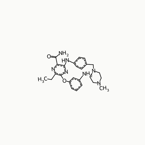 CCc1nc(C(N)=O)c(Nc2ccc(CN3CCN(C)CC3)cc2)nc1Oc1cccc(N)c1